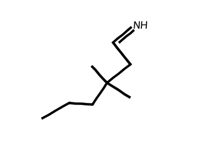 CCCC(C)(C)CC=N